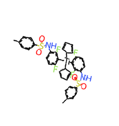 Cc1ccc(S(=O)(=O)Nc2ccc(F)[c]([Ti]([c]3c(F)ccc(NS(=O)(=O)c4ccc(C)cc4)c3F)([CH]3C=CC=C3)[CH]3C=CC=C3)c2F)cc1